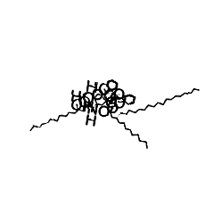 CCCCCCCCCCCCCCCCCC[C@H](CCCCCCCCC)CC(=O)O[C@@H]1[C@H](NC(=O)C[C@H](O)CCCCCCCCCCC)[C@@H](O)O[C@H](CO)[C@H]1OP(=O)(Oc1ccccc1)Oc1ccccc1